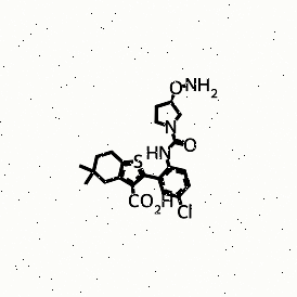 CC1(C)CCc2sc(-c3cc(Cl)ccc3NC(=O)N3CC[C@@H](ON)C3)c(C(=O)O)c2C1